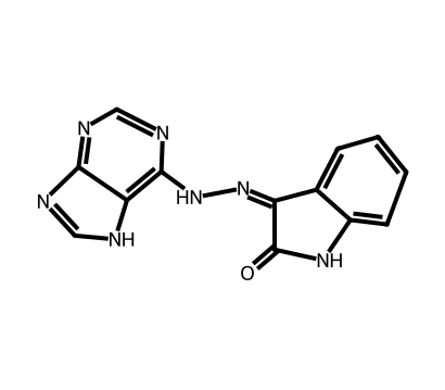 O=C1Nc2ccccc2/C1=N/Nc1ncnc2nc[nH]c12